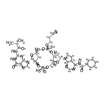 CC(C)C(=O)Nc1nc2c(ncn2[C@@H]2O[C@@H]3COP(=S)(OCCC#N)O[C@H]4C[C@H](n5ccc6c(NC(=O)c7ccccc7)ncnc65)O[C@@H]4COP(=O)(S)O[C@@H]2C3)c(=O)[nH]1